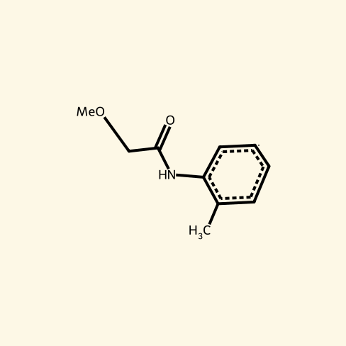 COCC(=O)Nc1c[c]ccc1C